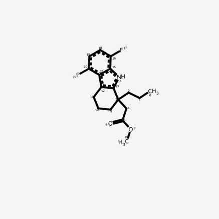 CCCC1(CC(=O)OC)CCCc2c1[nH]c1c(F)ccc(F)c21